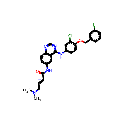 CN(C)C/C=C/C(=O)Nc1ccc2ncnc(Nc3ccc(OCc4cccc(F)c4)c(Cl)c3)c2c1